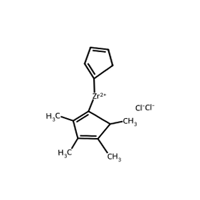 CC1=C(C)C(C)[C]([Zr+2][C]2=CC=CC2)=C1C.[Cl-].[Cl-]